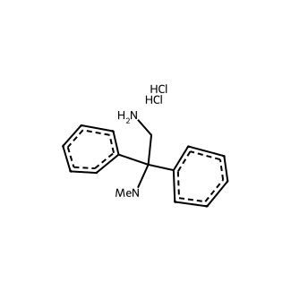 CNC(CN)(c1ccccc1)c1ccccc1.Cl.Cl